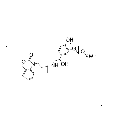 CSONOc1cc(C(O)CNC(C)(C)CCN2C(=O)OCc3ccccc32)ccc1O